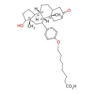 C[C@]12CCC(=O)CC1CC[C@@H]1[C@H]2C(c2ccc(OCCCCCCCC(=O)O)cc2)C[C@]2(C)C(O)CC[C@@H]12